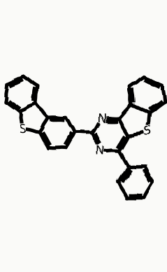 c1ccc(-c2nc(-c3ccc4sc5ccccc5c4c3)nc3c2sc2ccccc23)cc1